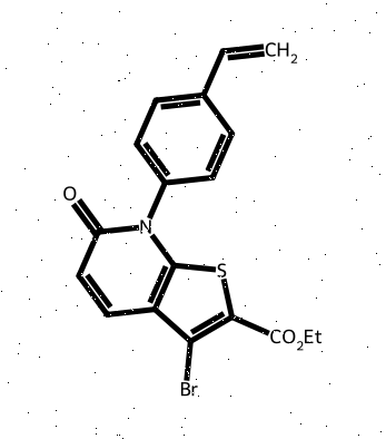 C=Cc1ccc(-n2c(=O)ccc3c(Br)c(C(=O)OCC)sc32)cc1